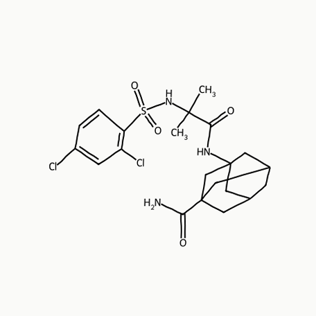 CC(C)(NS(=O)(=O)c1ccc(Cl)cc1Cl)C(=O)NC12CC3CC(C1)CC(C(N)=O)(C3)C2